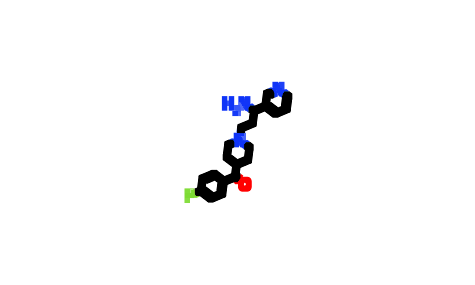 NC(CCN1CCC(C(=O)c2ccc(F)cc2)CC1)c1cccnc1